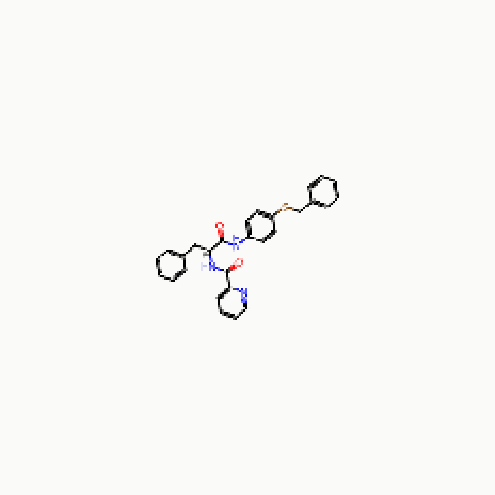 O=C(N[C@@H](Cc1ccccc1)C(=O)Nc1ccc(SCc2ccccc2)cc1)c1ccccn1